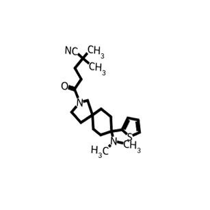 CN(C)C1(c2cccs2)CCC2(CCN(C(=O)CCC(C)(C)C#N)C2)CC1